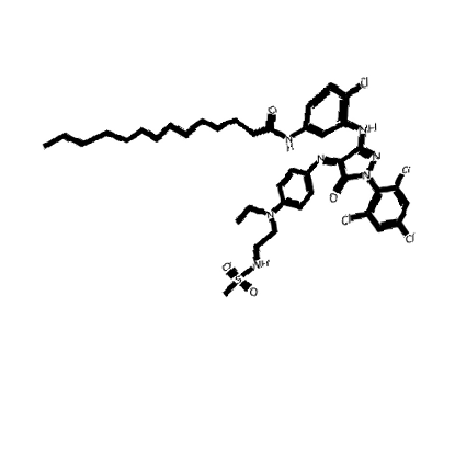 CCCCCCCCCCCCCC(=O)Nc1ccc(Cl)c(NC2=NN(c3c(Cl)cc(Cl)cc3Cl)C(=O)/C2=N\c2ccc(N(CC)CCNS(C)(=O)=O)cc2)c1